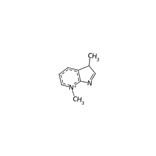 CC1C=Nc2c1ccc[n+]2C